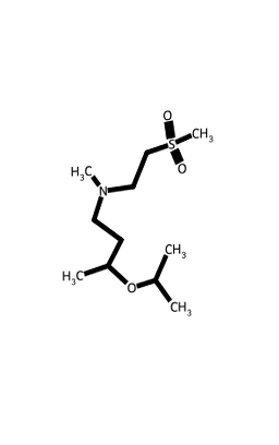 CC(C)OC(C)CCN(C)CCS(C)(=O)=O